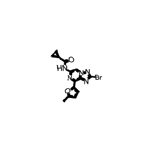 Cc1ccc(-c2nc(NC(=O)C3CC3)cn3nc(Br)nc23)o1